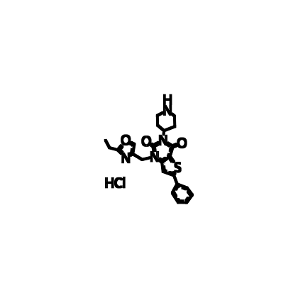 CCc1nc(Cn2c(=O)n(C3CCNCC3)c(=O)c3sc(-c4ccccc4)cc32)co1.Cl